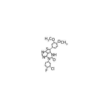 COc1ccc(-c2sc3ncnc4c3c2NC(=O)N4c2ccc(F)c(Cl)c2)cc1OC